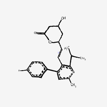 Cc1cc(-c2ccc(F)cc2)c(/C=C/C2CC(O)CC(=O)O2)c(C(C)C)n1